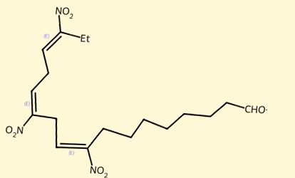 CC/C(=C\C/C=C(\C/C=C(\CCCCCCC[C]=O)[N+](=O)[O-])[N+](=O)[O-])[N+](=O)[O-]